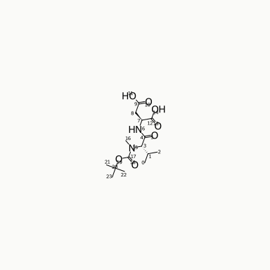 CC(C)[C@@H](C(=O)N[C@@H](CC(=O)O)C(=O)O)N(C)C(=O)OC(C)(C)C